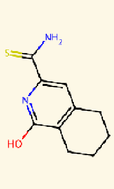 NC(=S)c1cc2c(c(O)n1)CCCC2